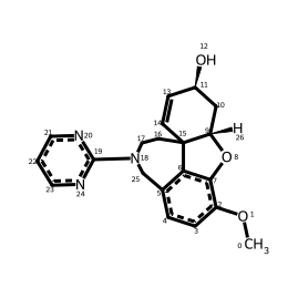 COc1ccc2c3c1O[C@H]1C[C@H](O)C=CC31CCN(c1ncccn1)C2